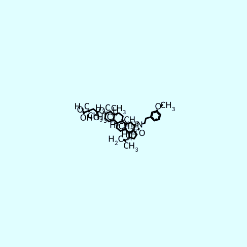 C=C(C)[C@@H]1CC[C@]2(C(=O)NCCc3cccc(OC)c3)CC[C@]3(C)[C@H](CC[C@@H]4[C@@]5(C)CC[C@H](OC(=O)CC(C)(C)C(=O)O)C(C)(C)[C@@H]5CC[C@]43C)[C@@H]12